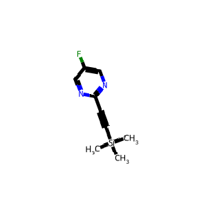 C[Si](C)(C)C#Cc1ncc(F)cn1